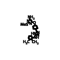 CSc1nc(N)cc(Oc2ccc(-c3nnc(Nc4cccc(C)c4C)[nH]3)cc2)n1